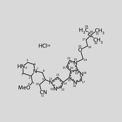 COCC1CNCCN1CC(CC#N)n1cc(-c2ncnc3c2ccn3COCC[Si](C)(C)C)cn1.Cl